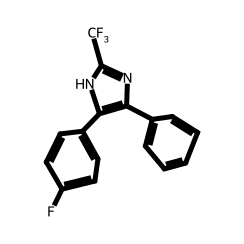 Fc1ccc(-c2[nH]c(C(F)(F)F)nc2-c2ccccc2)cc1